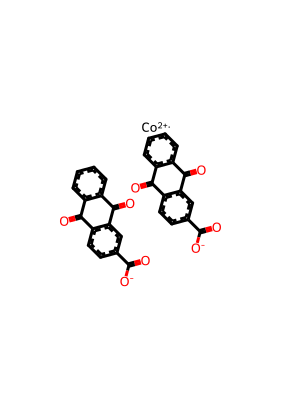 O=C([O-])c1ccc2c(c1)C(=O)c1ccccc1C2=O.O=C([O-])c1ccc2c(c1)C(=O)c1ccccc1C2=O.[Co+2]